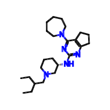 CCC(CC)CN1CCC[C@H](Nc2nc3c(c(N4CCCCCC4)n2)CCC3)C1